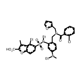 CCc1c(S(=O)(=O)N(CC)c2cc(N(C)CC)ccc2CN(Cc2ccco2)C(=O)c2ccccc2Cl)ccc2oc(C(=O)O)c(C)c12